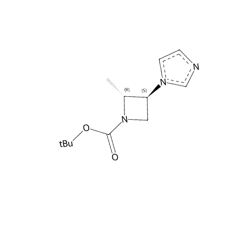 C[C@@H]1[C@@H](n2ccnc2)CN1C(=O)OC(C)(C)C